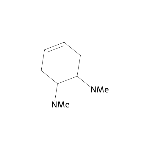 CNC1CC=CCC1NC